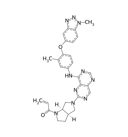 C=CC(=O)N1CC[C@@H]2CN(c3ncc4ncnc(Nc5ccc(Oc6ccc7c(c6)nnn7C)c(C)c5)c4n3)C[C@@H]21